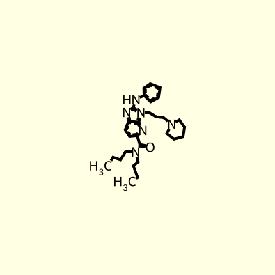 CCCCN(CCCC)C(=O)c1ccc2nc(Nc3ccccc3)n(CCCN3CCCCC3)c2n1